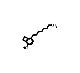 CCCCCCCCc1ccc(O)c2c1CC2